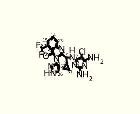 Nc1nc(N)c(Cl)c(NC(c2nc3cccc(C(F)F)c3c(=O)n2-c2cc[nH]n2)C2CC2)n1